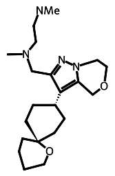 CNCCN(C)Cc1nn2c(c1[C@H]1CC[C@@]3(CCCCO3)CC1)COCC2